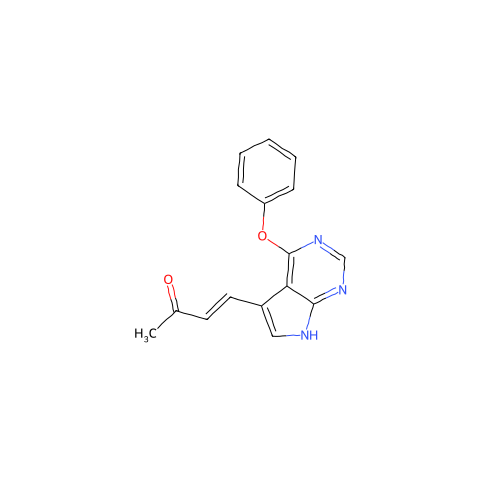 CC(=O)/C=C/c1c[nH]c2ncnc(Oc3ccccc3)c12